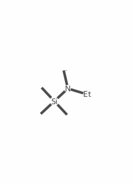 [CH2]N(CC)[Si](C)(C)C